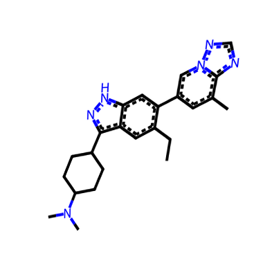 CCc1cc2c(C3CCC(N(C)C)CC3)n[nH]c2cc1-c1cc(C)c2ncnn2c1